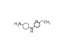 CCc1ccc(NC2CCC(N)CC2)cn1